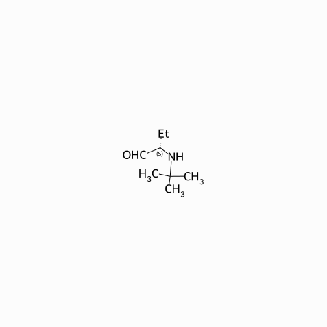 CC[C@@H](C=O)NC(C)(C)C